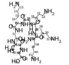 C[C@H](NC(=O)CNC(=O)[C@H](CCCCN)NC(=O)[C@H](CCCCN)NC(=O)[C@H](CCCCN)NC(=O)[C@@H](N)CCCCN)C(=O)N[C@@H](CS)C(=O)O